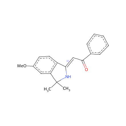 COc1ccc2c(c1)C(C)(C)N/C2=C\C(=O)c1ccccc1